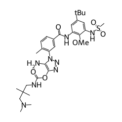 COc1c(NC(=O)c2ccc(C)c(-n3nnc(OC(=O)NCC(C)(C)CN(C)C)c3N)c2)cc(C(C)(C)C)cc1NS(C)(=O)=O